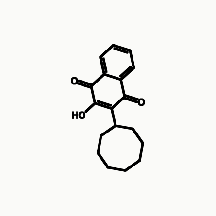 O=C1C(O)=C(C2CCCCCCC2)C(=O)c2ccccc21